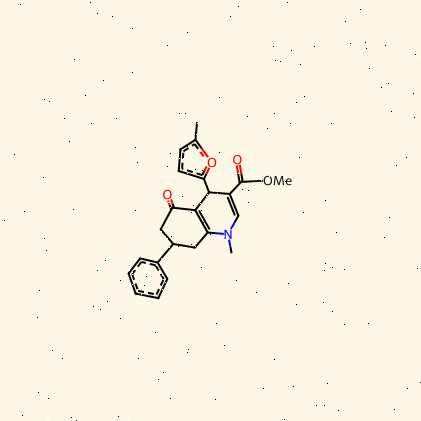 COC(=O)C1=CN(C)C2=C(C(=O)CC(c3ccccc3)C2)C1c1ccc(C)o1